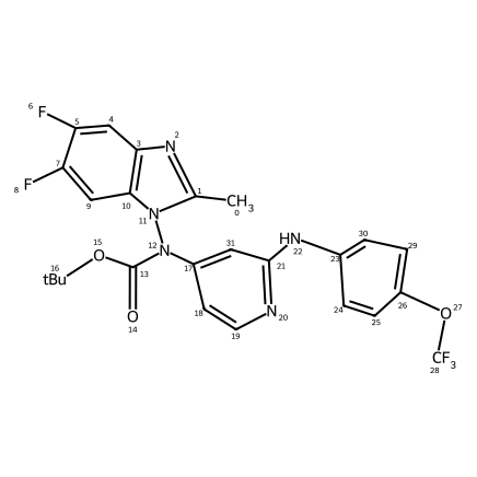 Cc1nc2cc(F)c(F)cc2n1N(C(=O)OC(C)(C)C)c1ccnc(Nc2ccc(OC(F)(F)F)cc2)c1